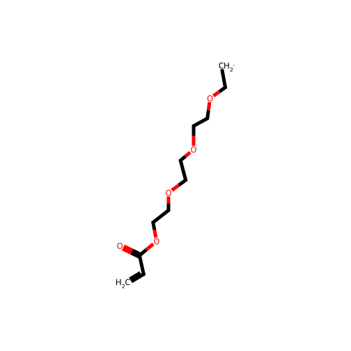 [CH2]COCCOCCOCCOC(=O)C=C